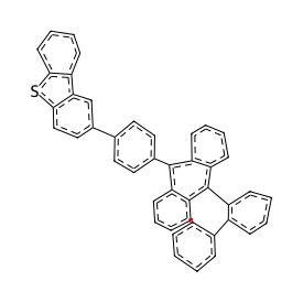 c1ccc(-c2ccccc2-c2c3ccccc3c(-c3ccc(-c4ccc5sc6ccccc6c5c4)cc3)c3ccccc23)cc1